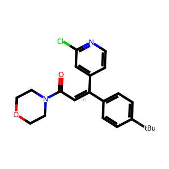 CC(C)(C)c1ccc(/C(=C/C(=O)N2CCOCC2)c2ccnc(Cl)c2)cc1